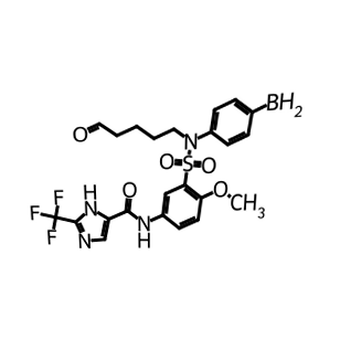 Bc1ccc(N(CCCCC=O)S(=O)(=O)c2cc(NC(=O)c3cnc(C(F)(F)F)[nH]3)ccc2OC)cc1